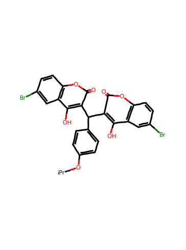 CC(C)Oc1ccc(C(c2c(O)c3cc(Br)ccc3oc2=O)c2c(O)c3cc(Br)ccc3oc2=O)cc1